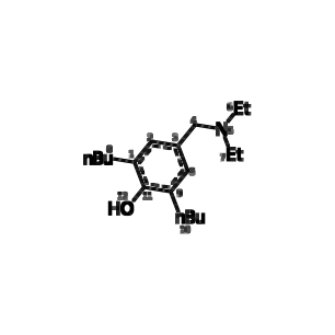 CCCCc1cc(CN(CC)CC)cc(CCCC)c1O